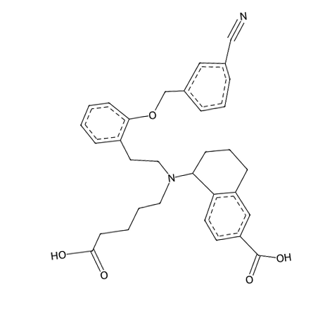 N#Cc1cccc(COc2ccccc2CCN(CCCCC(=O)O)C2CCCc3cc(C(=O)O)ccc32)c1